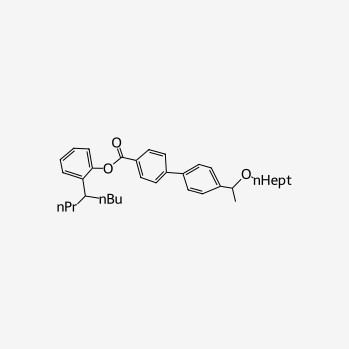 CCCCCCCOC(C)c1ccc(-c2ccc(C(=O)Oc3ccccc3C(CCC)CCCC)cc2)cc1